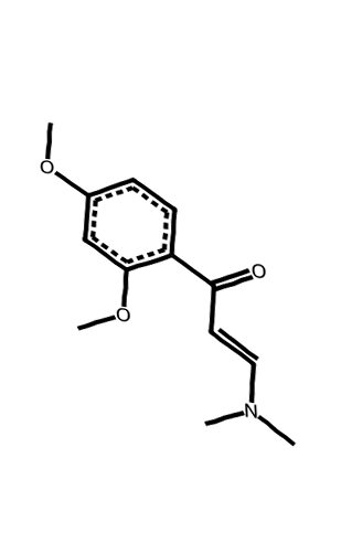 COc1ccc(C(=O)C=CN(C)C)c(OC)c1